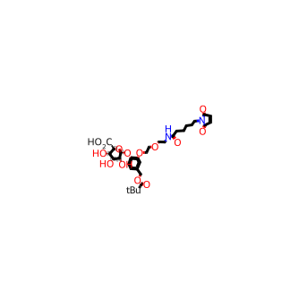 CC(C)(C)C(=O)OCc1ccc(O[C@@H]2O[C@H](C(=O)O)[C@@H](O)[C@H](O)[C@H]2O)c(OCCOCCNC(=O)CCCCCN2C(=O)C=CC2=O)c1